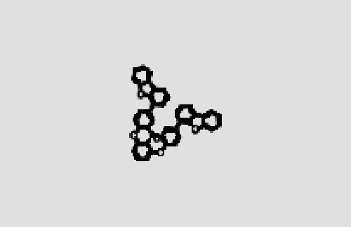 O=P12c3cc(-c4cccc5c4oc4ccccc45)ccc3Oc3cccc(c31)Oc1ccc(-c3cccc4c3oc3ccccc34)cc12